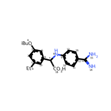 CCc1cc(OCC(C)C)cc(C(Nc2ccc(C(=N)N)cc2)C(=O)O)c1